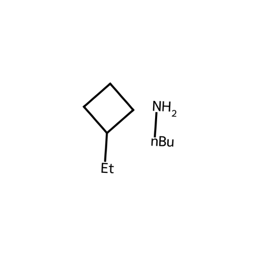 CCC1CCC1.CCCCN